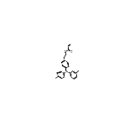 C=CC(=O)OCCc1ccc(N(c2ccc(C)cc2)c2cccc(C)c2)cc1